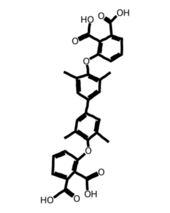 Cc1cc(-c2cc(C)c(Oc3cccc(C(=O)O)c3C(=O)O)c(C)c2)cc(C)c1Oc1cccc(C(=O)O)c1C(=O)O